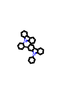 c1ccc(-n2c3ccccc3c3ccc(-c4ccccc4-n4c5ccccc5c5ccccc54)cc32)cc1